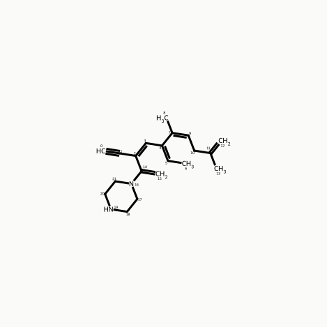 C#C/C(=C/C(=C/C)C(/C)=C\CC(=C)C)C(=C)N1CCNCC1